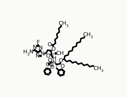 C#C[C@]1(CO[P@@](=O)(N[C@@H](Cc2ccccc2)C(=O)OC(CCCCCCCCCCC)CCCCCCCCCCC)Oc2ccccc2)O[C@@H](n2cnc3c(N)nc(F)nc32)C[C@@H]1OC(=O)CCCCCCCC